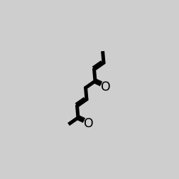 CC=CC(=O)CC=CC(C)=O